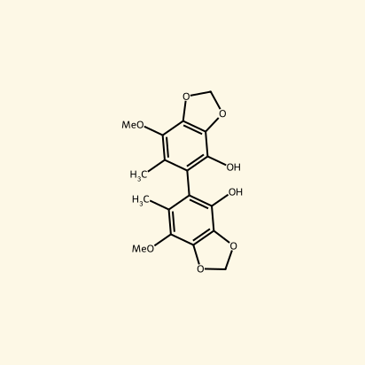 COc1c(C)c(-c2c(C)c(OC)c3c(c2O)OCO3)c(O)c2c1OCO2